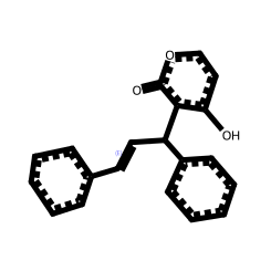 O=c1occc(O)c1C(/C=C/c1ccccc1)c1ccccc1